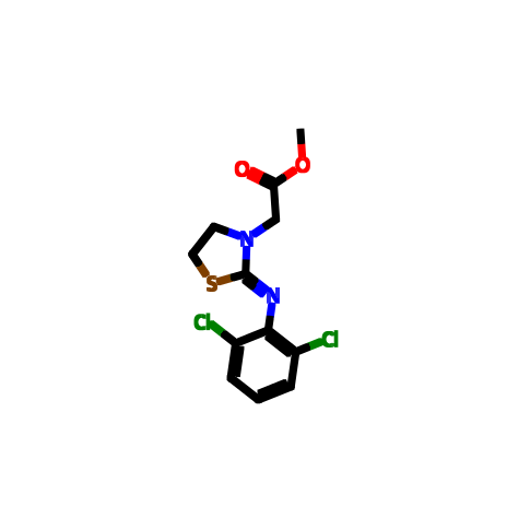 COC(=O)CN1CCSC1=Nc1c(Cl)cccc1Cl